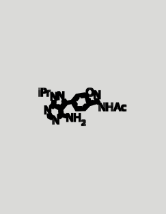 CC(=O)Nc1noc2cc(-c3nn(C(C)C)c4ncnc(N)c34)ccc12